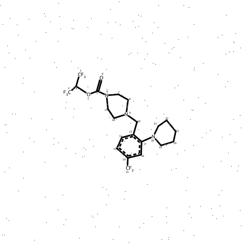 O=C(OC(C(F)(F)F)C(F)(F)F)N1CCN(Cc2ccc(C(F)(F)F)cc2N2CCCCC2)CC1